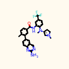 Cc1ccc(C(=O)Nc2cc(C(F)(F)F)ccc2N(C)[C@H]2CCN(C)C2)cc1-c1ccc2nc(N)ncc2c1